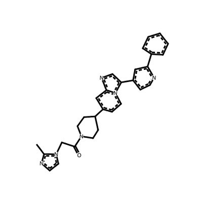 Cc1nccn1CC(=O)N1CCC(c2ccn3c(-c4ccnc(-c5ccccc5)c4)cnc3c2)CC1